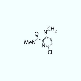 C=Nc1ccc(Cl)nc1C(=O)NC